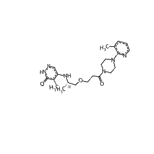 Cc1cccnc1N1CCN(C(=O)CCOC[C@H](C)Nc2cn[nH]c(=O)c2C)CC1